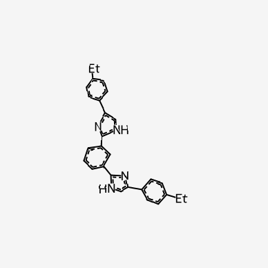 CCc1ccc(-c2c[nH]c(-c3cccc(-c4nc(-c5ccc(CC)cc5)c[nH]4)c3)n2)cc1